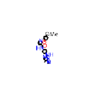 COc1ccc(Oc2ncccc2C(=O)N[C@H]2CC[C@@H](Nc3ncc(C)c(N(C)C)n3)CC2)cc1